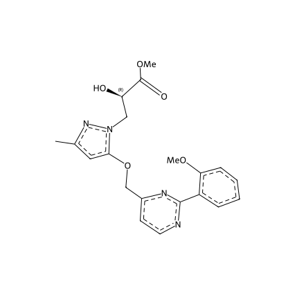 COC(=O)[C@H](O)Cn1nc(C)cc1OCc1ccnc(-c2ccccc2OC)n1